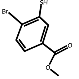 COC(=O)c1ccc(Br)c(S)c1